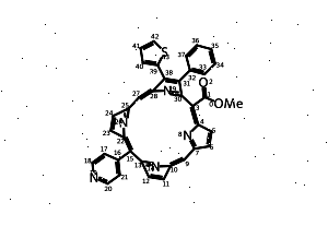 COC(=O)C1=C2C=CC(=N2)C=C2C=CC(=N2)C(c2ccncc2)=C2C=CC(=N2)C=C2N=C1C(c1ccccc1)=C2c1cccs1